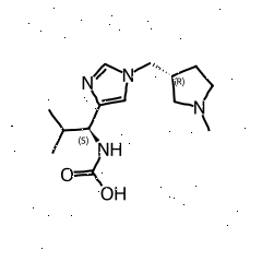 CC(C)[C@H](NC(=O)O)c1cn(C[C@@H]2CCN(C)C2)cn1